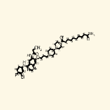 C=CC(=O)Nc1cc2c(Nc3ccc(F)c(Cl)c3)ncnc2cc1OCCCN1CCC(N2CCN(C(=O)CCCCCCCCC(N)=O)CC2)CC1